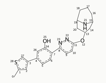 Cc1cc(-c2ccc(-c3ccc(OC4CC5CCCC(C4)N5)nn3)c(O)c2)cs1